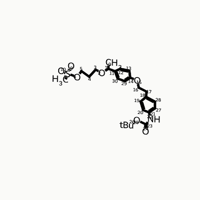 CC(OCCCOS(C)(=O)=O)c1ccc(OCCc2ccc(NC(=O)OC(C)(C)C)cc2)cc1